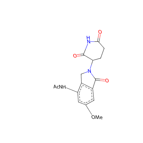 COc1cc(NC(C)=O)c2c(c1)C(=O)N(C1CCC(=O)NC1=O)C2